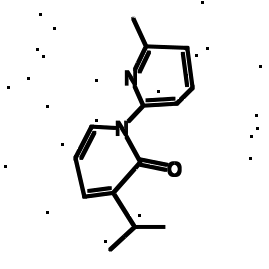 Cc1cccc(-n2cccc(C(C)C)c2=O)n1